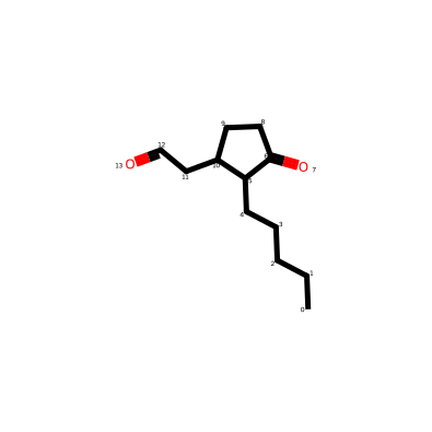 CCCCCC1C(=O)CCC1CC=O